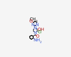 COc1ccnc(N2CCN(C(=O)c3ccccc3N)CC2)n1.OCl